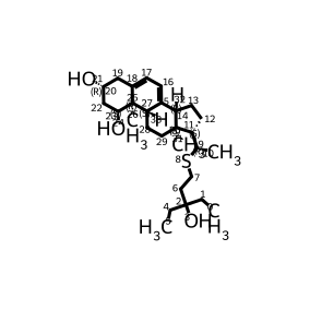 CCC(O)(CC)CCS[C@H](C)[C@H]1CC[C@H]2C3=CC=C4C[C@@H](O)C[C@H](O)[C@]4(C)[C@H]3CC[C@]12C